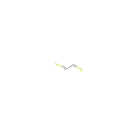 S=CC=S